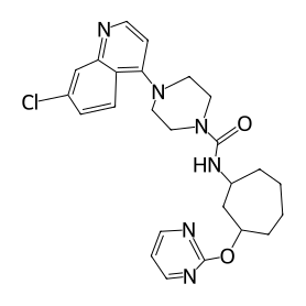 O=C(NC1CCCCC(Oc2ncccn2)C1)N1CCN(c2ccnc3cc(Cl)ccc23)CC1